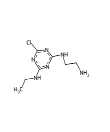 CCNc1nc(Cl)nc(NCCN)n1